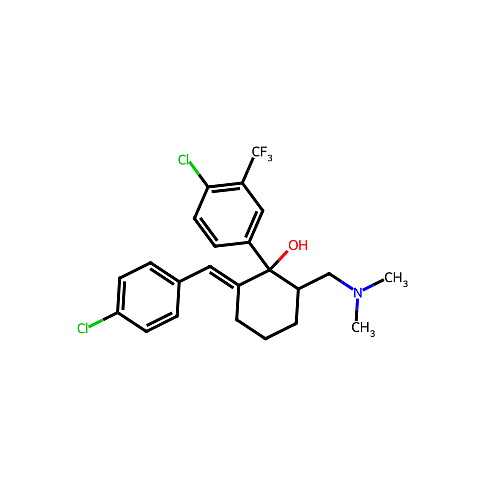 CN(C)CC1CCCC(=Cc2ccc(Cl)cc2)C1(O)c1ccc(Cl)c(C(F)(F)F)c1